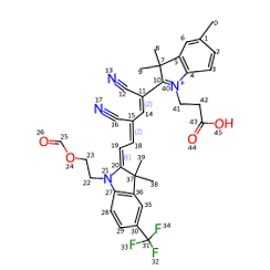 Cc1ccc2c(c1)C(C)(C)C(/C(C#N)=C/C(C#N)=C/C=C1/N(CCOC=O)c3ccc(C(F)(F)F)cc3C1(C)C)=[N+]2CCC(=O)O